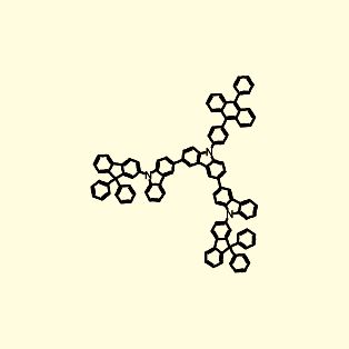 c1ccc(-c2c3ccccc3c(-c3ccc(-n4c5ccc(-c6ccc7c(c6)c6ccccc6n7-c6ccc7c(c6)C(c6ccccc6)(c6ccccc6)c6ccccc6-7)cc5c5cc(-c6ccc7c(c6)c6ccccc6n7-c6ccc7c(c6)C(c6ccccc6)(c6ccccc6)c6ccccc6-7)ccc54)cc3)c3ccccc23)cc1